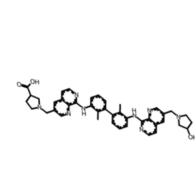 Cc1c(Nc2nccc3cc(CN4CCC(O)C4)cnc23)cccc1-c1cccc(Nc2nccc3cc(CN4CCC(C(=O)O)C4)cnc23)c1C